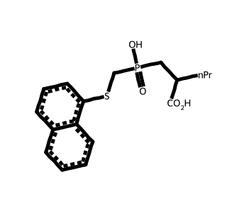 CCCC(CP(=O)(O)CSc1cccc2ccccc12)C(=O)O